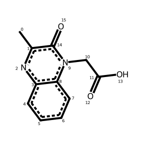 Cc1nc2ccccc2n(CC(=O)O)c1=O